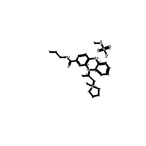 CCCNC(=O)c1ccc2c(c1)N(C(C)C[N+]1(C)CCCC1)c1ccccc1S2.COS(=O)(=O)[O-]